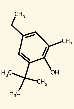 CCc1cc(C)c(O)c(C(C)(C)C)c1